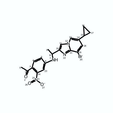 CC(=O)c1ccc(NC(C)c2cn3cc(C4CC4)cc(Br)c3n2)cc1[N+](=O)[O-]